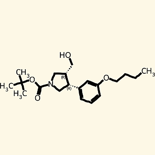 CCCCOc1cccc([C@@H]2CN(C(=O)OC(C)(C)C)C[C@@H]2CO)c1